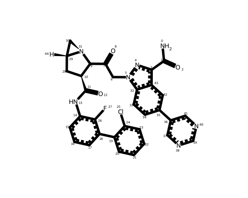 NC(=O)c1nn(CC(=O)C2[C@@H](C(=O)Nc3cccc(-c4ccccc4Cl)c3F)C[C@@H]3C[N@@]23)c2ccc(-c3cncnc3)cc12